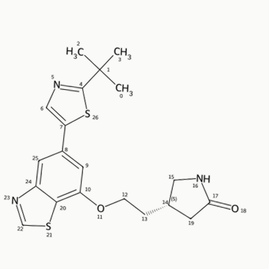 CC(C)(C)c1ncc(-c2cc(OCC[C@@H]3CNC(=O)C3)c3scnc3c2)s1